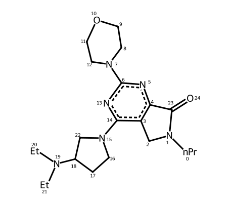 CCCN1Cc2c(nc(N3CCOCC3)nc2N2CCC(N(CC)CC)C2)C1=O